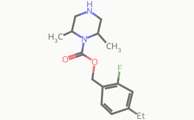 CCc1ccc(COC(=O)N2C(C)CNCC2C)c(F)c1